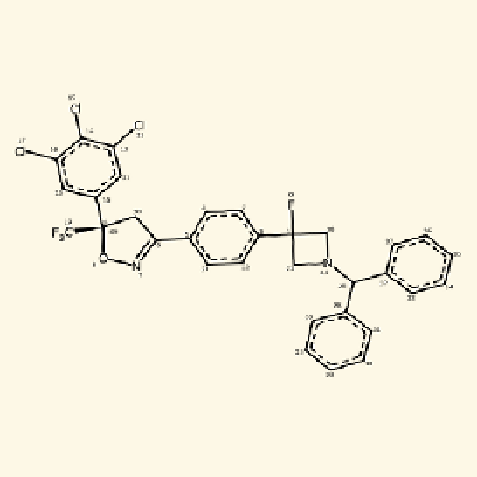 FC1(c2ccc(C3=NO[C@@](c4cc(Cl)c(Cl)c(Cl)c4)(C(F)(F)F)C3)cc2)CN(C(c2ccccc2)c2ccccc2)C1